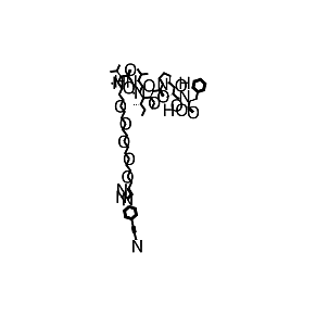 CC[C@H](C)[C@@H]([C@@H](CC(=O)N1CCC[C@H]1[C@H](OC)[C@@H](C)C(=O)N[C@@H](Cc1ccccc1)C(=O)O)OC)N(C)C(=O)[C@@H](NC(=O)[C@H](C(C)C)N(C)C(=O)CCOCCOCCOCCOCCOCc1cn(-c2ccc(C#CC#N)cc2)nn1)C(C)C